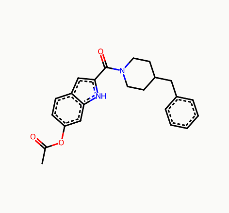 CC(=O)Oc1ccc2cc(C(=O)N3CCC(Cc4ccccc4)CC3)[nH]c2c1